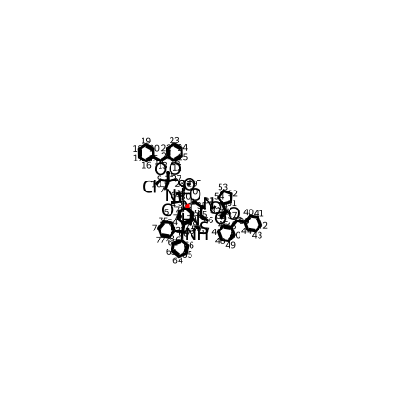 O=C(NC1C(=O)N2CC(CCl)(C(=O)OC(c3ccccc3)c3ccccc3)C[S+]([O-])[C@H]12)C(=NOC1(C(=O)OC(c2ccccc2)c2ccccc2)CCCC1)c1csc(NC(c2ccccc2)(c2ccccc2)c2ccccc2)n1